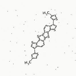 Cc1csc(-c2csc3c2ccc2c3sc3c4ccc5c(-c6cc(C)cs6)csc5c4sc23)c1